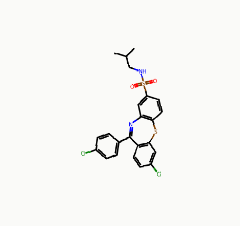 CC(C)CNS(=O)(=O)c1ccc2c(c1)N=C(c1ccc(Cl)cc1)c1ccc(Cl)cc1S2